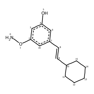 NOc1cc(O)cc(/C=C/C2CCCCC2)c1